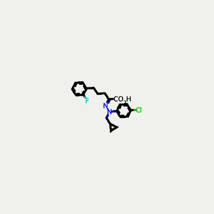 O=C(O)C(CCCc1ccccc1F)=NN(CC1CC1)c1ccc(Cl)cc1